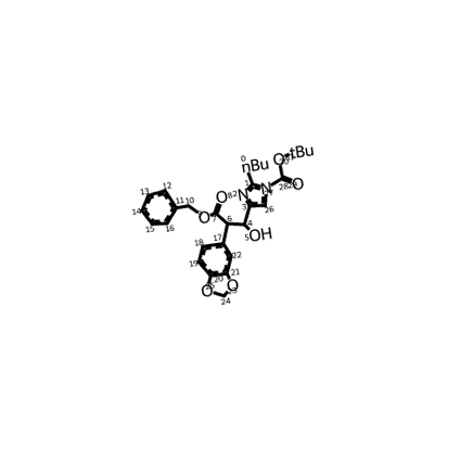 CCCCc1nc(C(O)C(C(=O)OCc2ccccc2)c2ccc3c(c2)OCO3)cn1C(=O)OC(C)(C)C